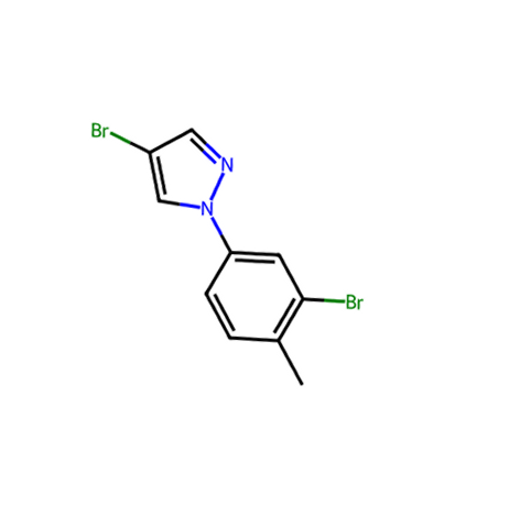 Cc1ccc(-n2cc(Br)cn2)cc1Br